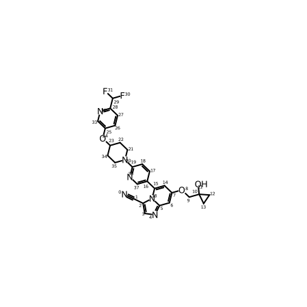 N#Cc1cnc2cc(OCC3(O)CC3)cc(-c3ccc(N4CCC(Oc5ccc(C(F)F)nc5)CC4)nc3)n12